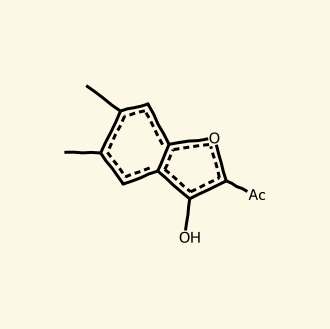 CC(=O)c1oc2cc(C)c(C)cc2c1O